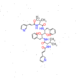 CC(C)[C@H](NC(=O)/C=C/c1cccnc1)C(=O)N[C@@H](Cc1ccccc1)[C@@H](O)[C@H](O)[C@H](Cc1ccccc1)NC(=O)[C@@H](NC(=O)/C=C/c1cccnc1)C(C)C